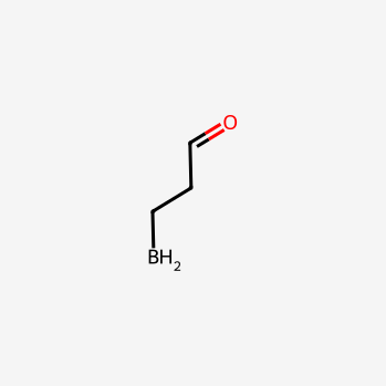 BCCC=O